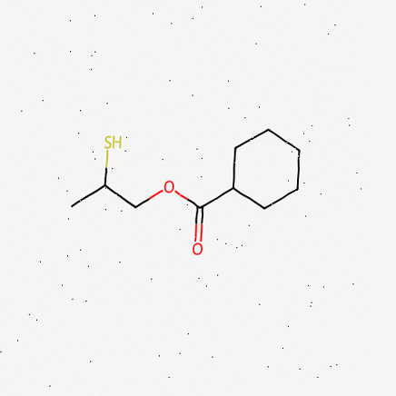 CC(S)COC(=O)C1CCCCC1